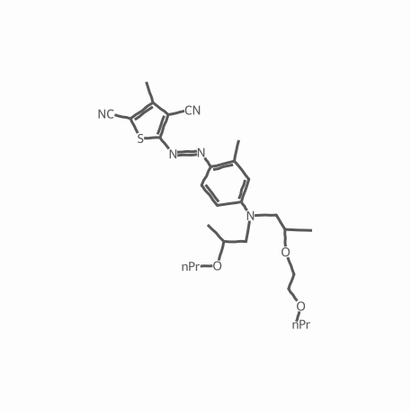 CCCOCCOC(C)CN(CC(C)OCCC)c1ccc(/N=N/c2sc(C#N)c(C)c2C#N)c(C)c1